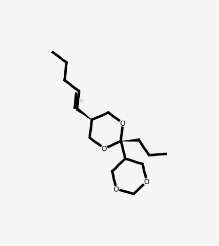 CCC/C=C/[C@H]1CO[C@](CCC)(C2COCOC2)OC1